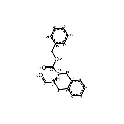 O=C[C@@H]1Cc2ccccc2C[SH]1C(=O)OCc1ccccc1